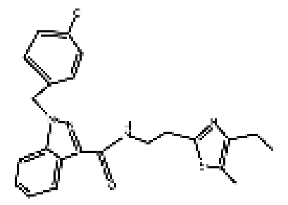 CCc1nc(CCNC(=O)c2nn(Cc3ccc(Cl)cc3)c3ccccc23)sc1C